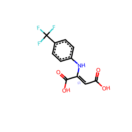 O=C(O)/C=C(\Nc1ccc(C(F)(F)F)cc1)C(=O)O